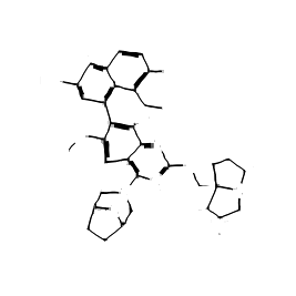 CCc1c(F)ccc2cc(O)cc(-c3c(OC)cc4c(N5CC6CCC(C5)N6)nc(OC[C@@]56CCCN5C[C@H](F)C6)nc4c3F)c12